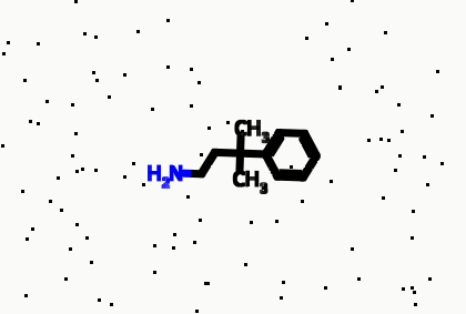 CC(C)(CCN)c1ccccc1